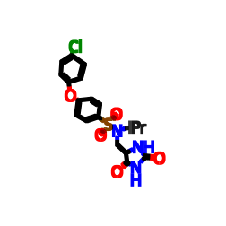 CC(C)N(CC1NC(=O)NC1=O)S(=O)(=O)c1ccc(Oc2ccc(Cl)cc2)cc1